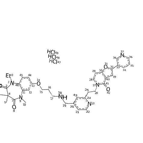 CCN1C(=O)C(C)(C)C(=O)N(C)c2cc(OCCCNCc3ccnc(CCn4ccc5oc(-c6cccnc6)cc5c4=O)c3)ccc21.Cl.Cl.Cl